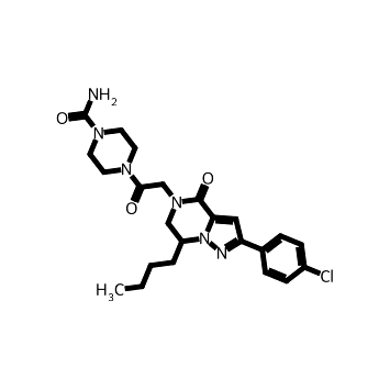 CCCCC1CN(CC(=O)N2CCN(C(N)=O)CC2)C(=O)c2cc(-c3ccc(Cl)cc3)nn21